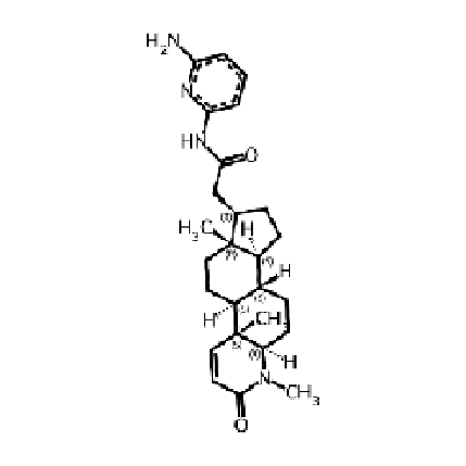 CN1C(=O)C=C[C@]2(C)[C@H]3CC[C@]4(C)[C@@H](CC(=O)Nc5cccc(N)n5)CC[C@H]4[C@@H]3CC[C@@H]12